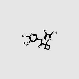 N#Cc1ncc(NC(=O)C2(n3cc(F)c(O)n3)CCC2)cc1C(F)(F)F